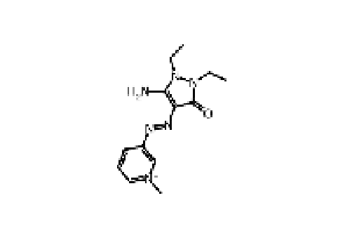 CCn1c(N)c(/N=N/c2ccc[n+](C)c2)c(=O)n1CC